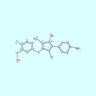 CCc1c(-c2ccc(N)cc2)c(C#N)c(C)n1Cc1cnc(Cl)c(CO)c1